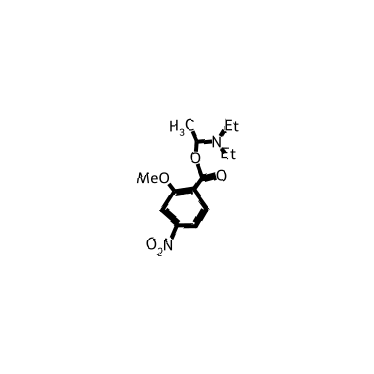 CCN(CC)C(C)OC(=O)c1ccc([N+](=O)[O-])cc1OC